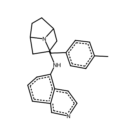 Cc1ccc(CN2C3CCC2CC(Nc2cccc4cnccc24)C3)cc1